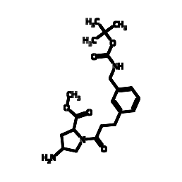 COC(=O)C1CC(N)CN1C(=O)CCc1cccc(CNC(=O)OC(C)(C)C)c1